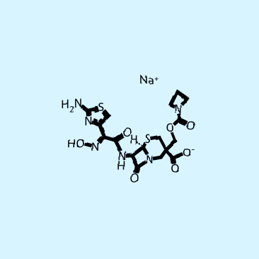 Nc1nc(C(=NO)C(=O)NC2C(=O)N3CC(COC(=O)N4CCC4)(C(=O)[O-])CS[C@H]23)cs1.[Na+]